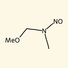 COCN(C)N=O